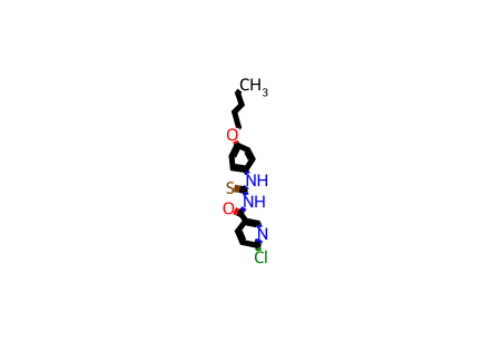 CCCCCOc1ccc(NC(=S)NC(=O)c2ccc(Cl)nc2)cc1